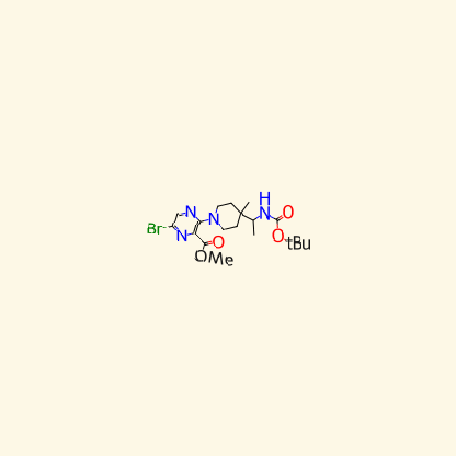 COC(=O)c1nc(Br)cnc1N1CCC(C)(C(C)NC(=O)OC(C)(C)C)CC1